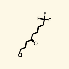 O=C(CCCCl)CCCCC(F)(F)F